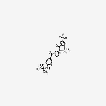 CN(C(=O)c1cc(C(F)(F)F)nn1C)[C@H]1CCN(C(=O)c2ccc(NC(C)(C)C)nc2)C1